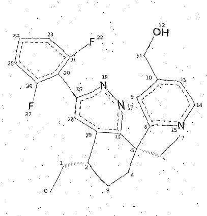 CC[C@H]1CC[C@](CC)(c2cc(CO)ccn2)c2nnc(-c3c(F)cccc3F)cc21